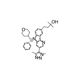 Cc1nnn(C)c1-c1cnc2c3cc(CCC(C)(C)O)ccc3n([C@H](c3ccccc3)C3CCOCC3)c2c1